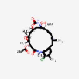 CO[C@@H]1/C=C/C=C(\C)Cc2cc(C)c(Cl)c(c2)N(C)C(=O)C[C@H](OC(=O)C(C)(C)C)[C@]2(C)O[C@H]2[C@H](C)[C@@H]2C[C@@]1(O)NC(=O)O2